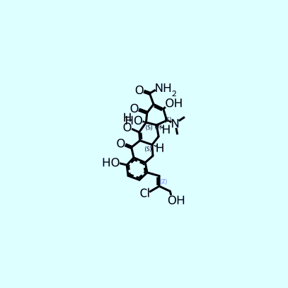 CN(C)[C@@H]1C(O)=C(C(N)=O)C(=O)[C@@]2(O)C(O)=C3C(=O)c4c(O)ccc(/C=C(\Cl)CO)c4C[C@@H]3C[C@H]12